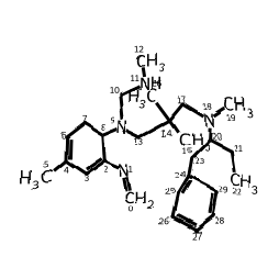 C=NC1=CC(C)=CCC1N(CNC)CC(C)(C)CN(C)C(CC)Cc1ccccc1